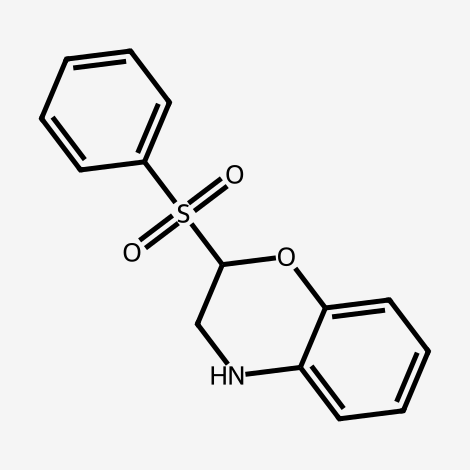 O=S(=O)(c1ccccc1)C1CNc2ccccc2O1